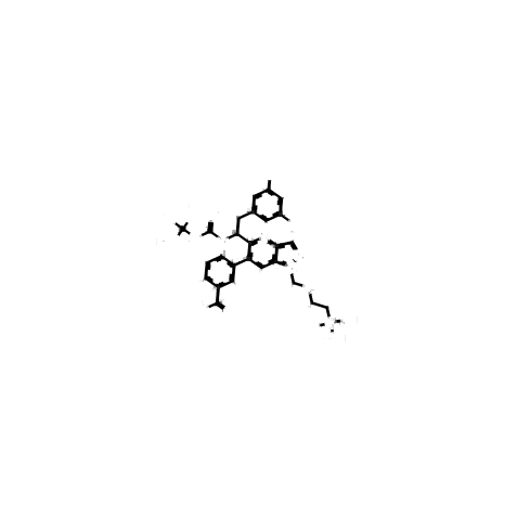 CC(C)(C)OC(=O)NC(Cc1cc(F)cc(F)c1)c1nc2cnn(COCC[Si](C)(C)C)c2cc1-c1cccc(C(=O)O)c1